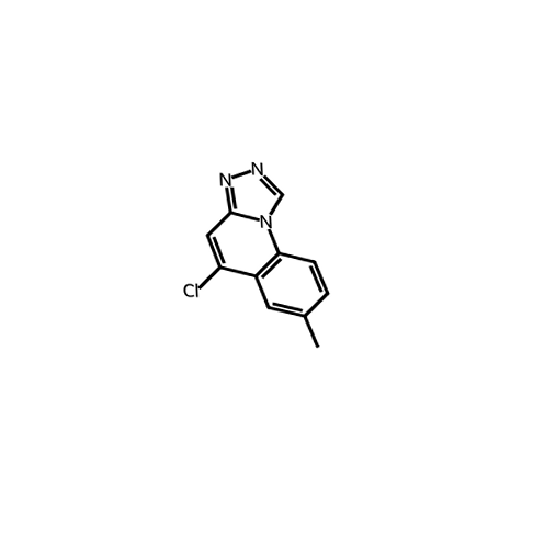 Cc1ccc2c(c1)c(Cl)cc1nncn12